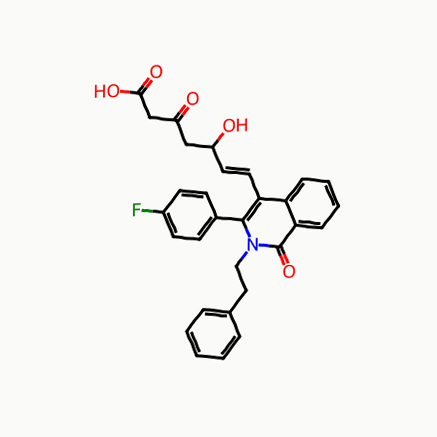 O=C(O)CC(=O)CC(O)C=Cc1c(-c2ccc(F)cc2)n(CCc2ccccc2)c(=O)c2ccccc12